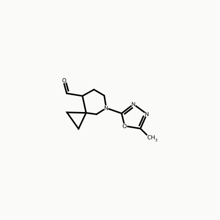 Cc1nnc(N2CCC(C=O)C3(CC3)C2)o1